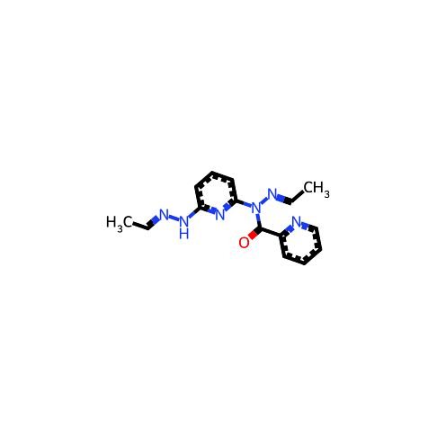 CC=NNc1cccc(N(N=CC)C(=O)c2ccccn2)n1